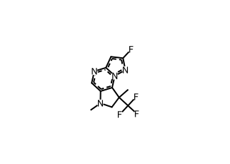 CN1CC(C)(C(F)(F)F)c2c1cnc1cc(F)nn21